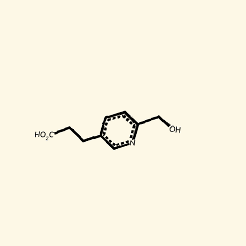 O=C(O)CCc1ccc(CO)nc1